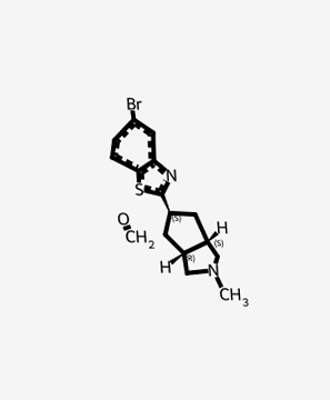 C=O.CN1C[C@H]2C[C@H](c3nc4cc(Br)ccc4s3)C[C@H]2C1